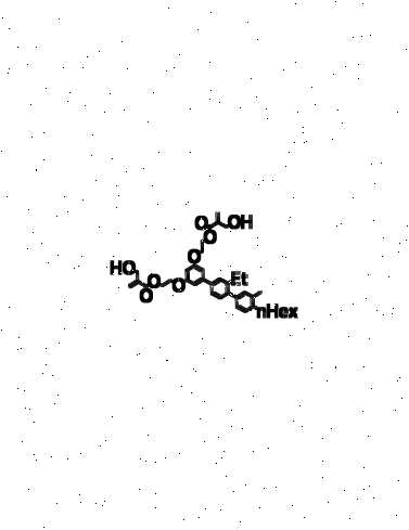 C=C(CO)C(=O)OCCOc1cc(OCCOC(=O)C(=C)CO)cc(-c2ccc(-c3ccc(CCCCCC)c(C)c3)c(CC)c2)c1